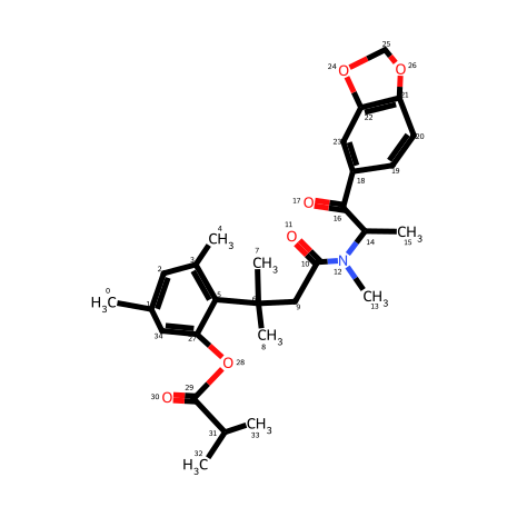 Cc1cc(C)c(C(C)(C)CC(=O)N(C)C(C)C(=O)c2ccc3c(c2)OCO3)c(OC(=O)C(C)C)c1